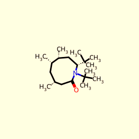 C[C@H]1CC(=O)N(C(C)(C)C)[C@@H](C(C)(C)C)C[C@@H](C)[C@@H](C)C1